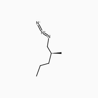 CCC[C@H](C)CN=[N+]=[N-]